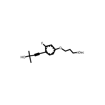 CCCCCCCCCCCCCOc1ccc(C#CC(C)(C)O)c(F)c1